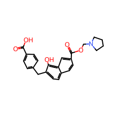 O=C(O)c1ccc(Cc2ccc3ccc(C(=O)OCN4CCCC4)cc3c2O)cc1